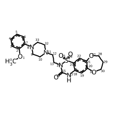 COc1ccccc1N1CCN(CCN2C(=O)Nc3cc4c(cc3S2(=O)=O)OCCCO4)CC1